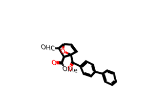 COC(=O)C1C(C=O)C2C=CC1(C(=O)c1ccc(-c3ccccc3)cc1)O2